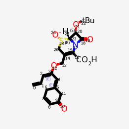 C=C/C=C(\C=C1/CC=CC(=O)C1)OCC1=C(C(=O)O)N2C(=O)[C@H](OC(C)(C)C)[C@H]2[S+]([O-])C1